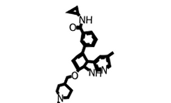 Cc1cnc2c(c1)C1C(c3cccc(C(=O)NC4CC4)c3)=CC=C(OCC3CCN(C)CC3)C1N2